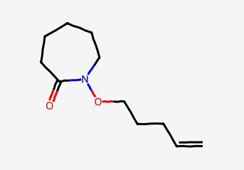 C=CCCCON1CCCCCC1=O